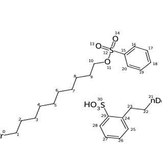 CC(C)CCCCCCCCCCOS(=O)(=O)c1ccccc1.CCCCCCCCCCCCc1ccccc1S(=O)(=O)O